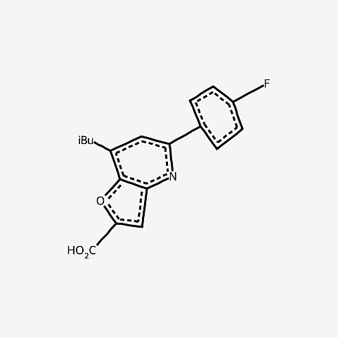 CCC(C)c1cc(-c2ccc(F)cc2)nc2cc(C(=O)O)oc12